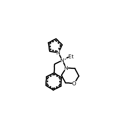 CC[N+](Cc1ccccc1)(N1CCOCC1)n1cccc1